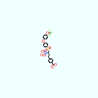 COC(=O)c1ccc(CCC(CS(=O)(=O)c2ccc(Oc3ccc(OC(F)(F)F)cc3)cc2)N(O)C=O)cc1